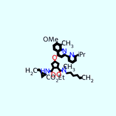 C=CCCCCN(C)C(=O)C1CC(Oc2cc(-c3cccc(C(C)C)n3)nc3c(C)c(OC)ccc23)CC1C(=O)NC1(C(=O)OCC)CC1C=C